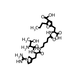 CCCc1oc(CC(NC(=O)CCCCNC(=O)C(CC2=CCN(C(=N)N)C2)NC(=O)C(N)C(C)O)C(=O)O)cc1C(=O)O